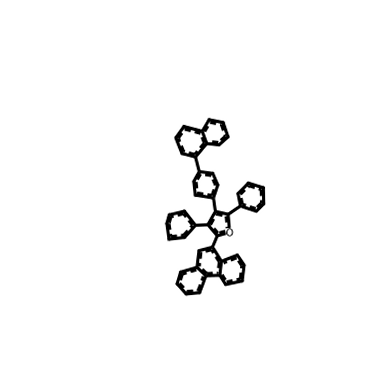 c1ccc(-c2oc(-c3cc4ccccc4c4ccccc34)c(-c3ccccc3)c2-c2ccc(-c3cccc4ccccc34)cc2)cc1